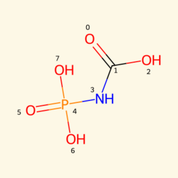 O=C(O)NP(=O)(O)O